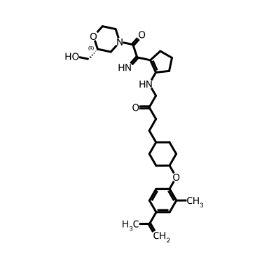 C=C(C)c1ccc(OC2CCC(CCC(=O)CNC3=C(C(=N)C(=O)N4CCO[C@@H](CO)C4)CCC3)CC2)c(C)c1